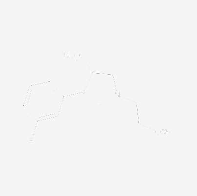 COCCN1CC(C(=O)O)C(c2cccc(F)c2)C1